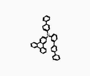 c1ccc(-c2ccc(-c3cccc(N(c4ccc(-c5ccccc5)cc4)c4ccc5c6ccccc6c6ccccc6c5c4)c3)cc2)cc1